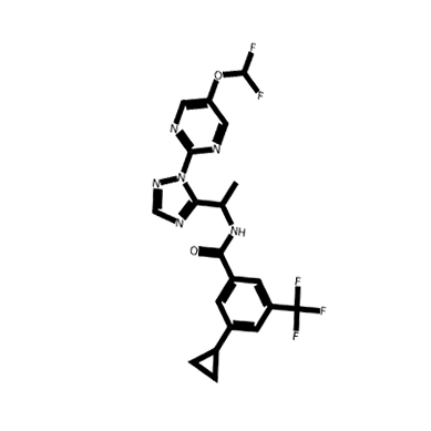 CC(NC(=O)c1cc(C2CC2)cc(C(F)(F)F)c1)c1ncnn1-c1ncc(OC(F)F)cn1